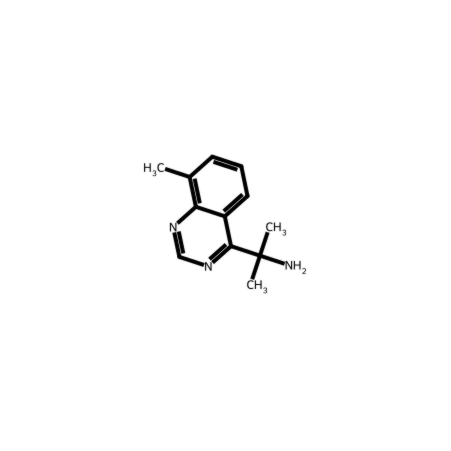 Cc1cccc2c(C(C)(C)N)ncnc12